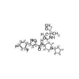 COCC(C)(C)NC(=O)[C@@H]1CN(C2CCCC2)CC[C@H]1NC(=O)c1cc(-c2ccc(F)cc2F)no1